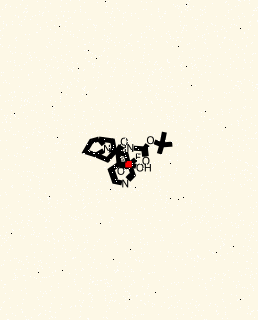 CC(C)(C)OC(=O)N[C@H](C(=O)O)C1CC2CCC(C1)N2C(=O)c1ccncc1F